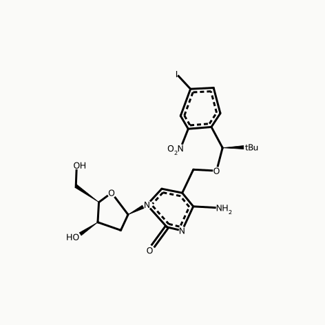 CC(C)(C)[C@@H](OCc1cn([C@H]2C[C@@H](O)[C@@H](CO)O2)c(=O)nc1N)c1ccc(I)cc1[N+](=O)[O-]